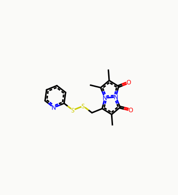 Cc1c(C)n2c(CSSc3ccccn3)c(C)c(=O)n2c1=O